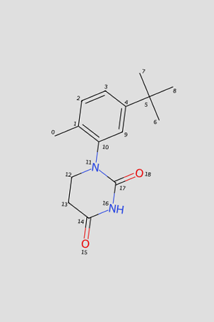 Cc1ccc(C(C)(C)C)cc1N1CCC(=O)NC1=O